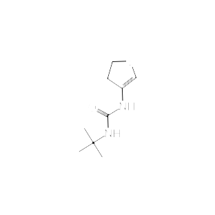 CC(C)(C)NC(=O)NC1=CSCC1